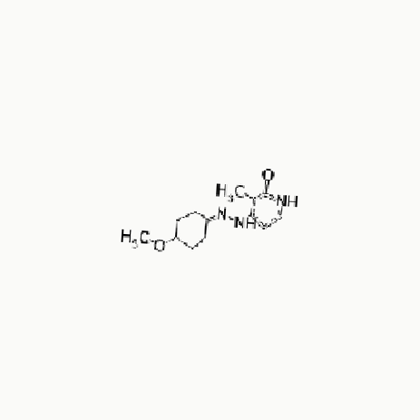 COC1CCC(=NNc2cc[nH]c(=O)c2C)CC1